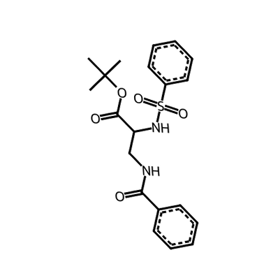 CC(C)(C)OC(=O)C(CNC(=O)c1ccccc1)NS(=O)(=O)c1ccccc1